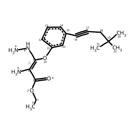 CCOC(=O)/C(N)=C(/NN)Oc1cccc(C#CCC(C)(C)C)c1